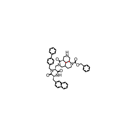 O=C1N[C@@H](Cc2ccc3ccccc3c2)C(=O)N(Cc2ccc(-c3ccccc3)cc2)[C@H]1CN(CC1CCN(C(=O)OCc2ccccc2)CC1)C(=O)[C@@H]1CCCNC1